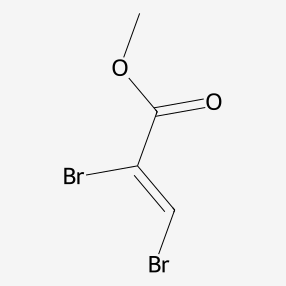 COC(=O)/C(Br)=C/Br